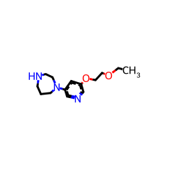 CCOCCOc1cncc(N2CCCNCC2)c1